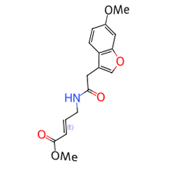 COC(=O)/C=C/CNC(=O)Cc1coc2cc(OC)ccc12